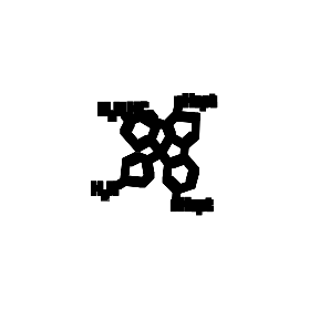 C#Cc1c(CCCCCCC)ccc2c1C(c1ccc(N)cc1)(c1ccc(N)cc1)c1cc(CCCCCCC)ccc1-2